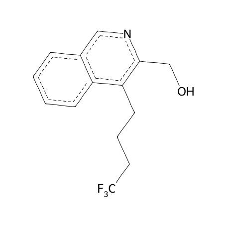 OCc1ncc2ccccc2c1CCCC(F)(F)F